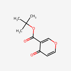 CC(C)(C)OC(=O)c1coccc1=O